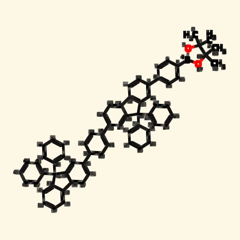 CC1(C)OB(c2ccc(-c3ccc4c(c3)C(c3ccccc3)(c3ccccc3)c3cc(-c5ccc(-c6ccc7c(c6)C(c6ccccc6)(c6ccccc6)c6ccccc6-7)cc5)ccc3-4)cc2)OC1(C)C